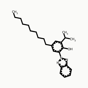 CCCCCCCCCCc1cc(C(C)C)c(O)c(-n2nc3ccccc3n2)c1